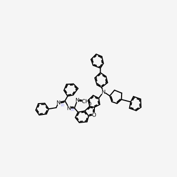 C=N/C(=N\C(=N/Cc1ccccc1)c1ccccc1)c1cccc2oc3cc(N(C4=CC=C(c5ccccc5)CC4)c4ccc(-c5ccccc5)cc4)ccc3c12